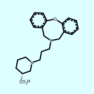 O=C(O)[C@@H]1CCCN(CCCN2Cc3ccccc3Oc3ccccc3C2)C1